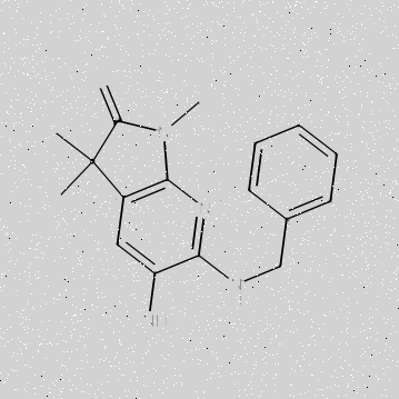 C[C@H](Nc1nc2c(cc1N)C(C)(C)C(=O)N2C)c1ccccc1